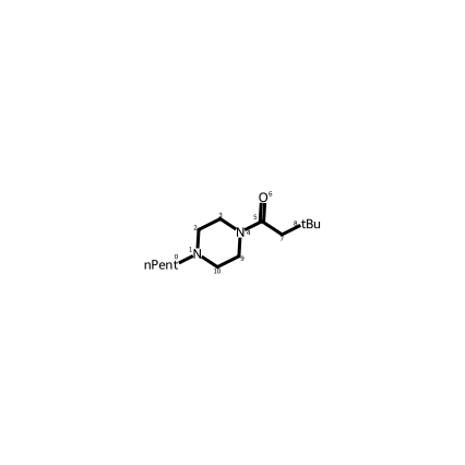 CCCCCN1CCN(C(=O)CC(C)(C)C)CC1